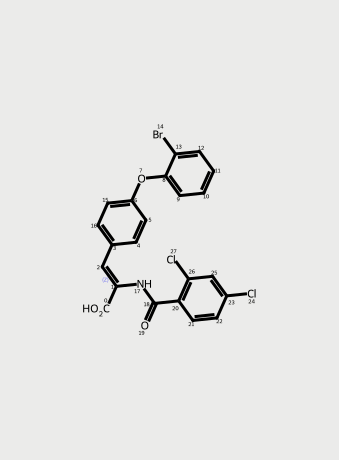 O=C(O)/C(=C/c1ccc(Oc2ccccc2Br)cc1)NC(=O)c1ccc(Cl)cc1Cl